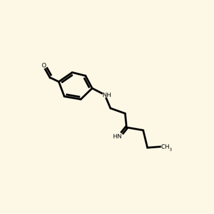 CCCC(=N)CCNc1ccc([C]=O)cc1